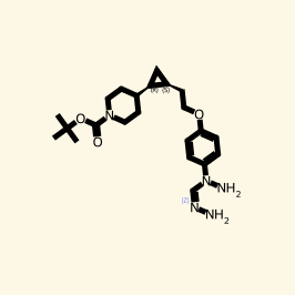 CC(C)(C)OC(=O)N1CCC([C@H]2C[C@H]2CCOc2ccc(N(N)/C=N\N)cc2)CC1